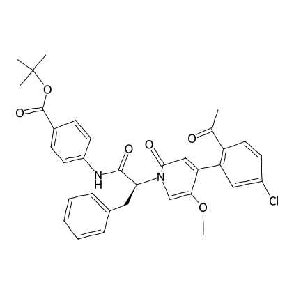 COc1cn([C@@H](Cc2ccccc2)C(=O)Nc2ccc(C(=O)OC(C)(C)C)cc2)c(=O)cc1-c1cc(Cl)ccc1C(C)=O